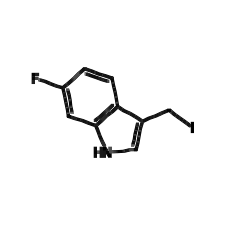 Fc1ccc2c(CI)c[nH]c2c1